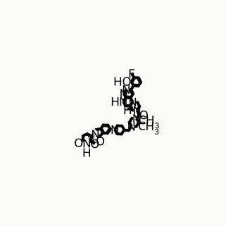 CC1(C)CN(CC2CCN(c3ccc4c(c3)C(=O)N([C@H]3CCC(=O)NC3=O)C4)CC2)CCN1C(=O)N1CCN2c3cc(-c4cccc(F)c4O)nnc3NC[C@H]2C1